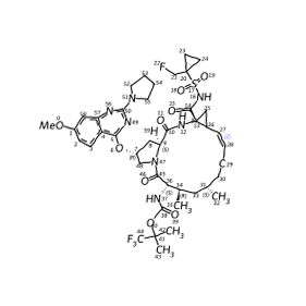 COc1ccc2c(O[C@@H]3C[C@H]4C(=O)N[C@]5(C(=O)NS(=O)(=O)C6(CF)CC6)CC5/C=C\CC[C@H](C)C[C@@H](C)[C@H](NC(=O)OC(C)(C)C(F)(F)F)C(=O)N4C3)nc(N3CCCC3)nc2c1